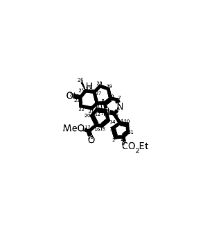 CCOC(=O)c1ccc(-c2ncc3c(n2)[C@@]2(c4cccc(C(=O)OC)c4)CCC(=O)[C@@H](C)[C@@H]2CC3)cc1